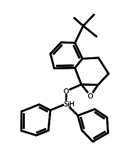 CC(C)(C)c1cccc2c1CCC1OC21O[SiH](c1ccccc1)c1ccccc1